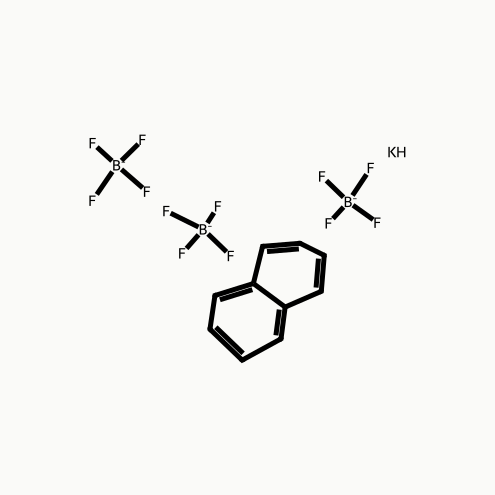 F[B-](F)(F)F.F[B-](F)(F)F.F[B-](F)(F)F.[KH].c1ccc2ccccc2c1